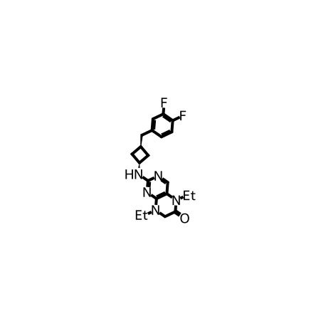 CCN1CC(=O)N(CC)c2cnc(N[C@H]3C[C@H](Cc4ccc(F)c(F)c4)C3)nc21